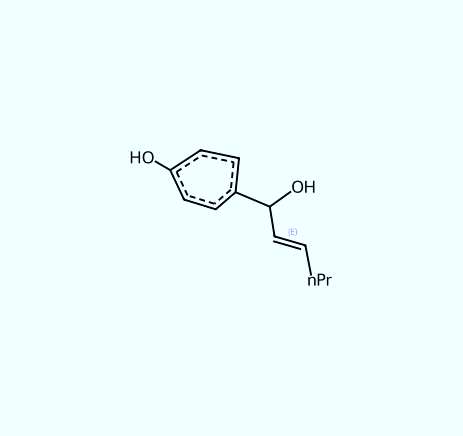 CCC/C=C/C(O)c1ccc(O)cc1